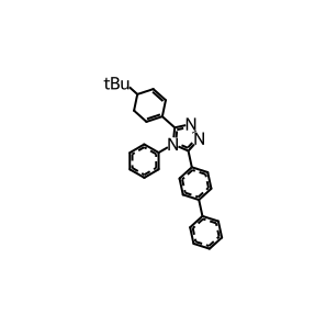 CC(C)(C)C1C=CC(c2nnc(-c3ccc(-c4ccccc4)cc3)n2-c2ccccc2)=CC1